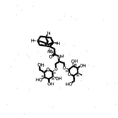 CCCC[C@]1(CC(=O)NC(CO[C@H]2OC(CO)[C@H](C)C(O)[C@H]2O)CO[C@H]2OC(CO)[C@H](O)C(O)[C@H]2O)C2C[C@@H]3C[C@H](C2)C[C@@H]1C3